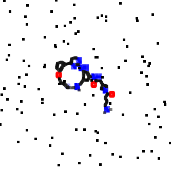 CN(C)CCCC(=O)N1CC(CC(=O)Nc2cc3cc(c2)Nc2nccc(n2)-c2cccc(c2)OCC/C=C/CN(C)C3)C1